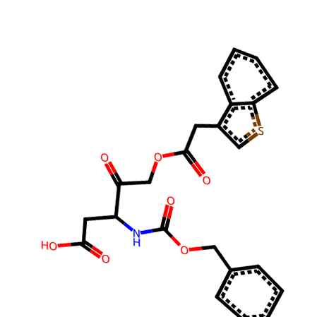 O=C(O)CC(NC(=O)OCc1ccccc1)C(=O)COC(=O)Cc1csc2ccccc12